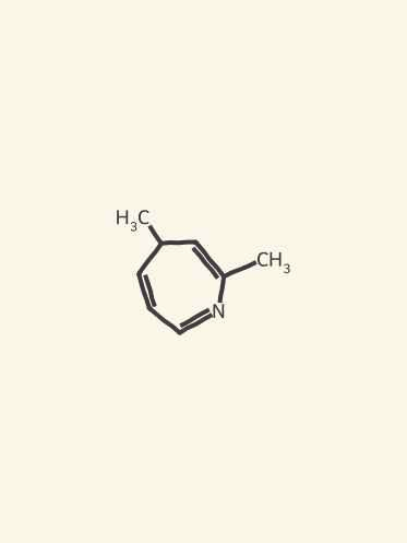 CC1=CC(C)C=CC=N1